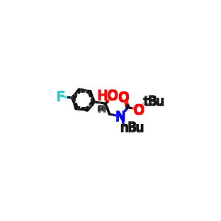 CCCCN(C[C@H](O)c1ccc(F)cc1)C(=O)OC(C)(C)C